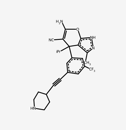 Cc1n[nH]c2c1C(c1cc(C#CC3CCNCC3)cc(C(F)(F)F)c1)(C(C)C)C(C#N)=C(N)O2